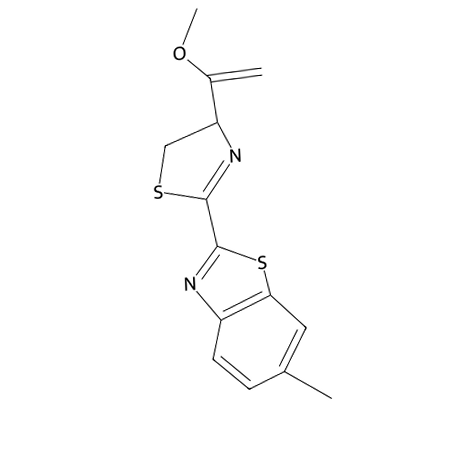 C=C(OC)C1CSC(c2nc3ccc(C)cc3s2)=N1